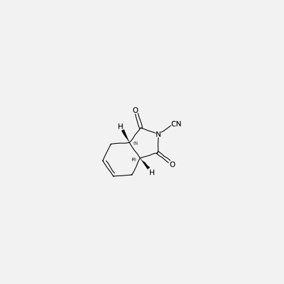 N#CN1C(=O)[C@H]2CC=CC[C@H]2C1=O